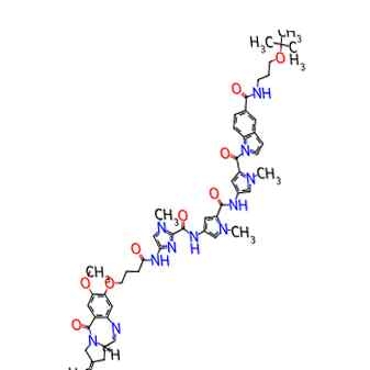 C=C1C[C@H]2C=Nc3cc(OCCCC(=O)Nc4cn(C)c(C(=O)Nc5cc(C(=O)Nc6cc(C(=O)n7ccc8cc(C(=O)NCCCOC(C)(C)C)ccc87)n(C)c6)n(C)c5)n4)c(OC)cc3C(=O)N2C1